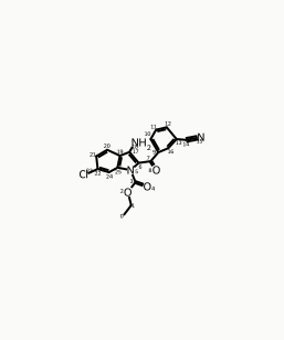 CCOC(=O)n1c(C(=O)c2cccc(C#N)c2)c(N)c2ccc(Cl)cc21